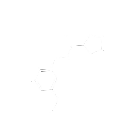 COc1cncc(OO[C@H](O)C2CCCC2)c1